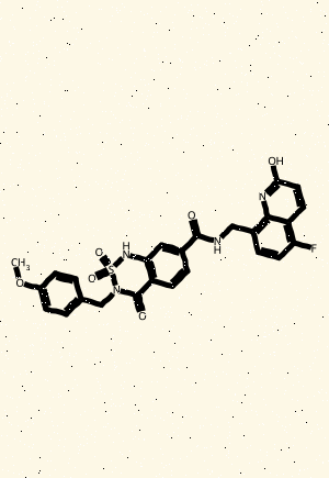 COc1ccc(CN2C(=O)c3ccc(C(=O)NCc4ccc(F)c5ccc(O)nc45)cc3NS2(=O)=O)cc1